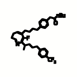 CCCCC(=O)Cc1ccc(CCCCC2=C/CC/C=N/C(C(C)CCCc3ccc(C(F)(F)F)cc3)=C\2F)cc1